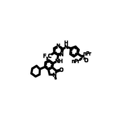 CCCP(=O)(CCC)c1ccc(Nc2ncc(C(F)(F)F)c(Nc3ccc(C4CCCCC4)c4c3C(=O)N(C)C4)n2)cc1